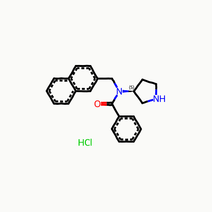 Cl.O=C(c1ccccc1)N(Cc1ccc2ccccc2c1)[C@H]1CCNC1